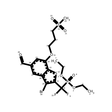 CCOP(=O)(OCC)C(F)(F)c1sc2c(OCCCS(C)(=O)=O)cc(C=O)cc2c1Br